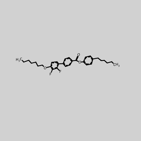 CCCCCCCOc1ccc(-c2ccc(C(=O)Oc3ccc(CCCCCC)cc3)cc2)c(F)c1F